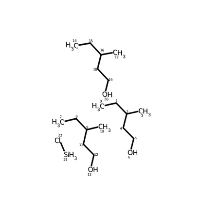 CCC(C)CCO.CCC(C)CCO.CCC(C)CCO.[SiH3]Cl